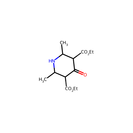 CCOC(=O)C1C(=O)C(C(=O)OCC)C(C)NC1C